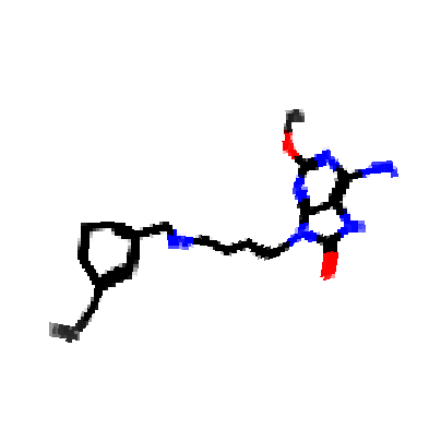 CCCCOc1nc(N)c2[nH]c(=O)n(CCCCNCc3cccc(CC(=O)O)c3)c2n1